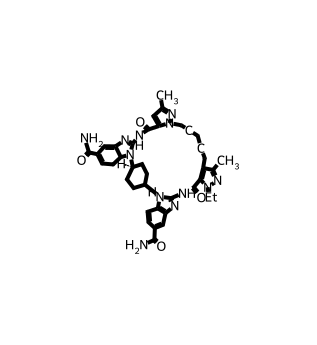 CCn1nc(C)c2c1C(=O)Nc1nc3cc(C(N)=O)ccc3n1[C@H]1CC[C@@H](CC1)N1C(=NC3=CC(C(N)=O)=CCC31)NC(=O)c1cc(C)nn1CCCCC2